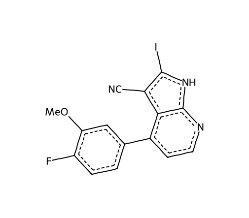 COc1cc(-c2ccnc3[nH]c(I)c(C#N)c23)ccc1F